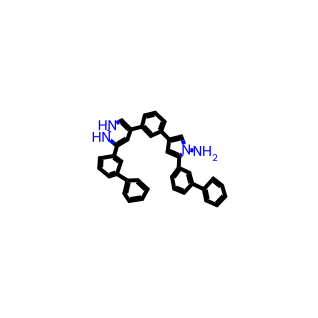 Nn1cc(-c2cccc(C3=CNNC(c4cccc(-c5ccccc5)c4)=C3)c2)cc1-c1cccc(-c2ccccc2)c1